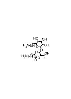 C[C@@H](O)C(O)[C@H](OC(O)CNN)O[C@H]1OC(CNN)[C@@H](O)C(O)C1O